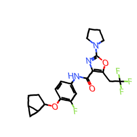 O=C(Nc1ccc(OC2CCC3CC32)c(F)c1)c1nc(N2CCCC2)oc1CC(F)(F)F